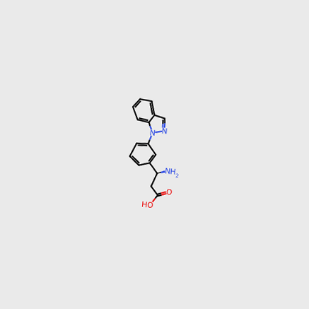 N[C@@H](CC(=O)O)c1cccc(-n2ncc3ccccc32)c1